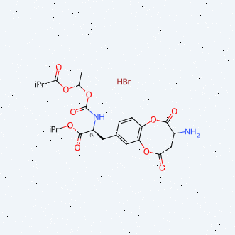 Br.CC(C)OC(=O)[C@H](Cc1ccc2c(c1)OC(=O)CC(N)C(=O)O2)NC(=O)OC(C)OC(=O)C(C)C